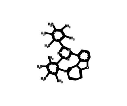 Bc1c(B)c(B)c(-c2nc(-c3cccc4c3C3C#CC=CC=C3O4)nc(-c3c(B)c(B)c(B)c(B)c3B)n2)c(B)c1B